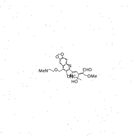 CNCCOCc1c2c(nc3cc4c(cc13)OCO4)/C(=C/C(=C(\C=O)COC)[C@](C)(O)C=O)N(C)C2